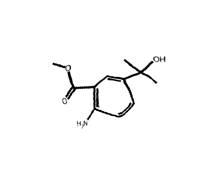 COC(=O)c1cc(C(C)(C)O)ccc1N